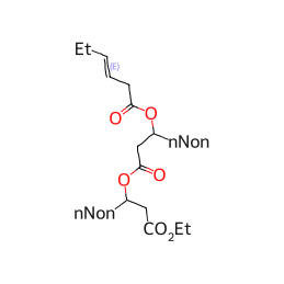 CC/C=C/CC(=O)OC(CCCCCCCCC)CC(=O)OC(CCCCCCCCC)CC(=O)OCC